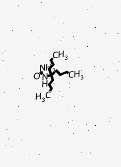 CCCCC(CCCC)(CCCC)NC(N)=O